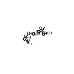 C=CCn1c(=O)c2cnc(Nc3ccc(N4CCCC(c5nc6cccc(C(N)=O)c6[nH]5)C4)cc3)nc2n1-c1cccc(C(C)(C)O)n1